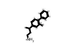 CC(CCN)c1ccc(-c2ccccc2)c(F)c1